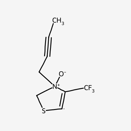 CC#CC[N+]1([O-])CS[C]=C1C(F)(F)F